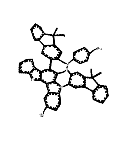 CC(C)(C)c1ccc(N2B3c4cc5c(cc4-n4c6ccc(C(C)(C)C)cc6c6c7oc8ccccc8c7c(c3c64)-c3cc4c(cc32)C(C)(C)c2ccccc2-4)-c2ccccc2C5(C)C)cc1